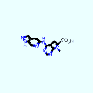 Cn1c(C(=O)O)cc2c(Nc3cc4cn[nH]c4cn3)ncnc21